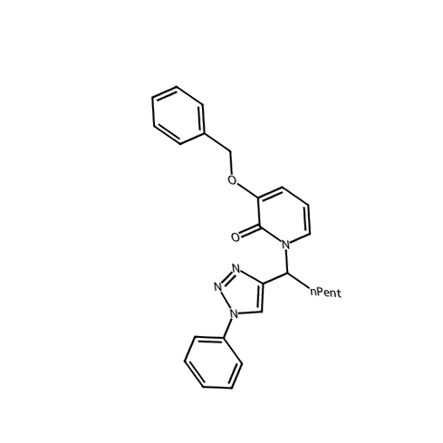 CCCCCC(c1cn(-c2ccccc2)nn1)n1cccc(OCc2ccccc2)c1=O